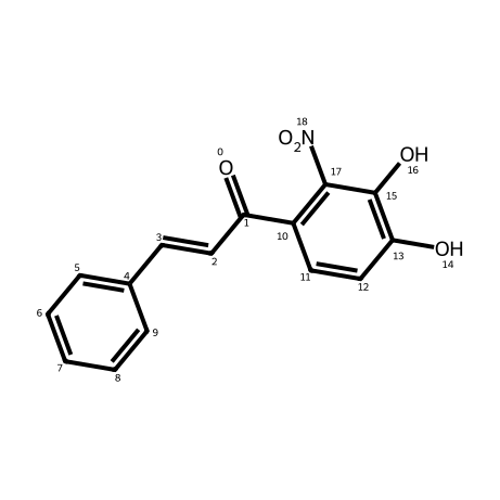 O=C(C=Cc1ccccc1)c1ccc(O)c(O)c1[N+](=O)[O-]